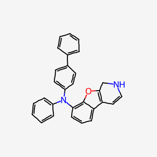 C1=Cc2c(oc3c(N(c4ccccc4)c4ccc(-c5ccccc5)cc4)cccc23)CN1